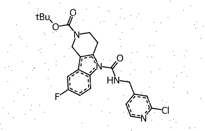 CC(C)(C)OC(=O)N1CCc2c(c3cc(F)ccc3n2C(=O)NCc2ccnc(Cl)c2)C1